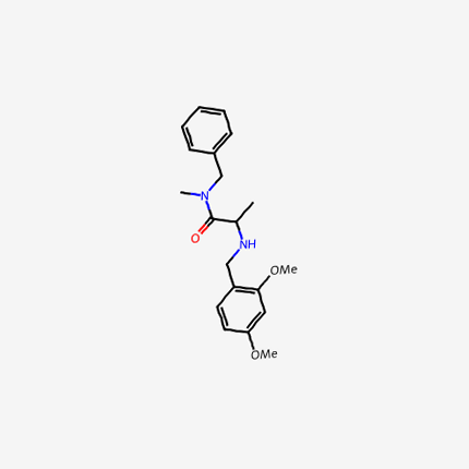 COc1ccc(CNC(C)C(=O)N(C)Cc2ccccc2)c(OC)c1